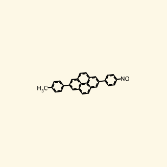 Cc1ccc(-c2cc3ccc4cc(-c5ccc(N=O)cc5)cc5ccc(c2)c3c45)cc1